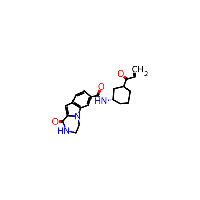 C=CC(=O)C1CCC[C@H](NC(=O)c2ccc3cc4n(c3c2)CCNC4=O)C1